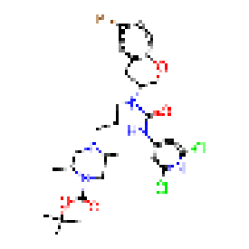 CC1CN(C(=O)OC(C)(C)C)[C@@H](C)CN1CCCN(C(=O)Nc1cc(Cl)nc(Cl)c1)C1COc2ccc(Br)cc2C1